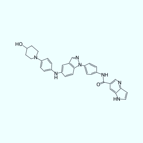 O=C(Nc1ccc(-n2ncc3cc(Nc4ccc(N5CCC(O)CC5)cc4)ccc32)cc1)c1cnc2cc[nH]c2c1